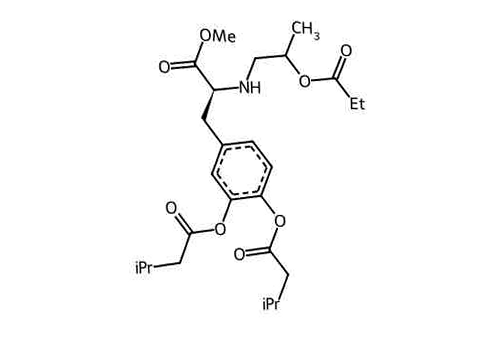 CCC(=O)OC(C)CN[C@@H](Cc1ccc(OC(=O)CC(C)C)c(OC(=O)CC(C)C)c1)C(=O)OC